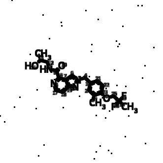 Cc1cc(Cn2cc3c(C(=O)NC[C@@H](C)O)nccc3n2)ccc1OCC(C)(F)F